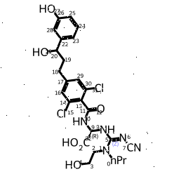 CCCN(CCO)/C(=N\C#N)N[C@H](NC(=O)c1c(Cl)cc(CCC(O)c2cccc(O)c2)cc1Cl)C(=O)O